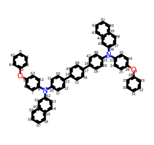 c1ccc(Oc2ccc(N(c3ccc(-c4ccc(-c5ccc(N(c6ccc(Oc7ccccc7)cc6)c6ccc7ccccc7c6)cc5)cc4)cc3)c3ccc4ccccc4c3)cc2)cc1